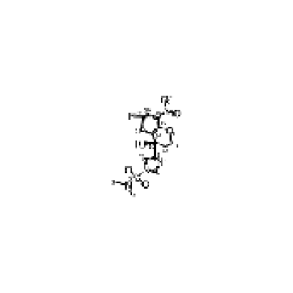 CN(C)S(=O)(=O)n1cnc(C2(O)CCOc3c([N+](=O)[O-])cc(F)cc32)c1